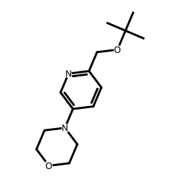 CC(C)(C)OCc1ccc(N2CCOCC2)cn1